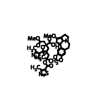 COC(=O)C[C@@](CCCC(C)(C)OC(=O)c1scnc1C)(OC(=O)c1scnc1C)C(=O)O[C@@H]1C(OC)=C[C@]23CCCN2CCc2cc4c(cc2[C@H]13)OCO4